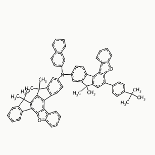 CC(C)(C)c1ccc(-c2cc3c(c4c2oc2ccccc24)-c2ccc(N(c4ccc5c(c4)C(C)(C)c4c6c(c7oc8ccccc8c7c4-5)-c4ccccc4C6(C)C)c4ccc5ccccc5c4)cc2C3(C)C)cc1